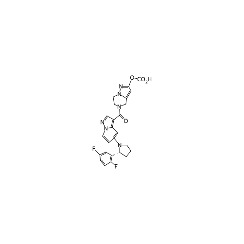 O=C(O)Oc1cc2n(n1)CCN(C(=O)c1cnn3ccc(N4CCC[C@@H]4c4cc(F)ccc4F)cc13)C2